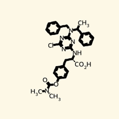 CC(c1ccccc1)N(Cc1ccccc1)c1nc(Cl)nc(N[C@@H](Cc2ccc(OC(=O)N(C)C)cc2)C(=O)O)n1